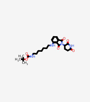 CC(C)(C)OC(=O)NCCCCCCCNc1cccc2c1C(=O)N(C1CCC(=O)NC1=O)C2=O